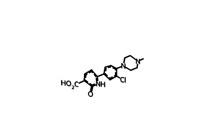 CN1CCN(c2ccc(-c3ccc(C(=O)O)c(=O)[nH]3)cc2Cl)CC1